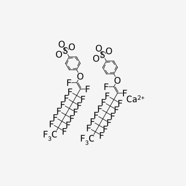 O=S(=O)([O-])c1ccc(OC(F)=C(F)C(F)(F)C(F)(F)C(F)(F)C(F)(F)C(F)(F)C(F)(F)C(F)(F)F)cc1.O=S(=O)([O-])c1ccc(OC(F)=C(F)C(F)(F)C(F)(F)C(F)(F)C(F)(F)C(F)(F)C(F)(F)C(F)(F)F)cc1.[Ca+2]